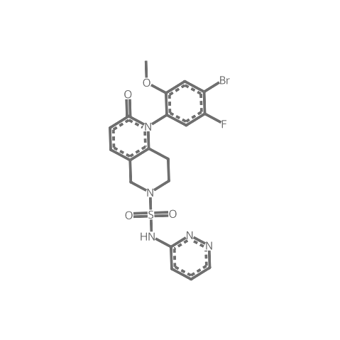 COc1cc(Br)c(F)cc1-n1c2c(ccc1=O)CN(S(=O)(=O)Nc1cccnn1)CC2